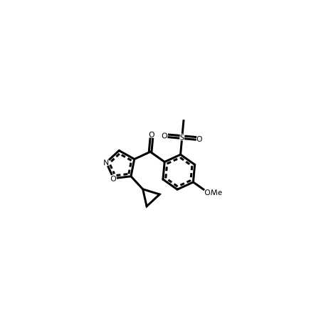 COc1ccc(C(=O)c2cnoc2C2CC2)c(S(C)(=O)=O)c1